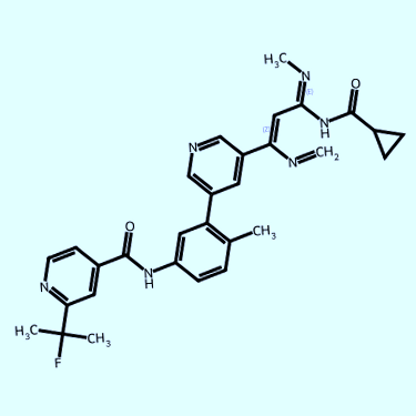 C=N/C(=C\C(=N/C)NC(=O)C1CC1)c1cncc(-c2cc(NC(=O)c3ccnc(C(C)(C)F)c3)ccc2C)c1